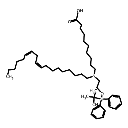 CCCCC/C=C\C/C=C\CCCCCCCCN(CCCCCCCCCC(=O)O)CCO[Si](c1ccccc1)(c1ccccc1)C(C)(C)C